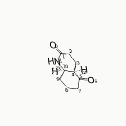 O=C1CC[C@H]2C(=O)CCC[C@H]2N1